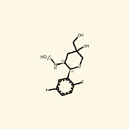 O=C(O)N[C@H]1CC(O)(CO)CO[C@H]1c1cc(F)ccc1F